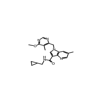 COc1ncnc(Cn2cc(C(=O)NCC3CC3)c3ncc(C)cc32)c1C